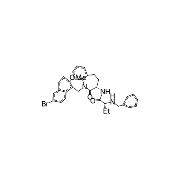 CC[C@H](NCc1ccccc1)C(=O)N[C@H]1CCc2ccccc2N(Cc2c(OC)ccc3cc(Br)ccc23)C1=O